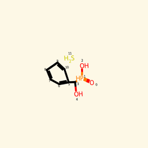 O=[PH](O)C(O)c1ccccc1.S